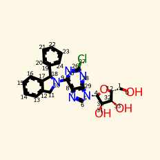 OC[C@H]1O[C@@H](n2cnc3c(N4Cc5ccccc5C4c4ccccc4)nc(Cl)nc32)[C@H](O)[C@@H]1O